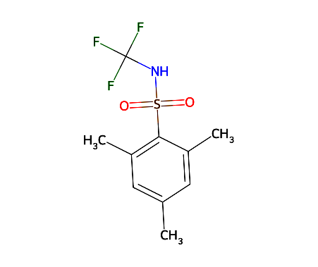 Cc1cc(C)c(S(=O)(=O)NC(F)(F)F)c(C)c1